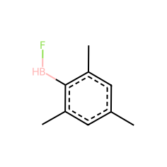 Cc1cc(C)c(BF)c(C)c1